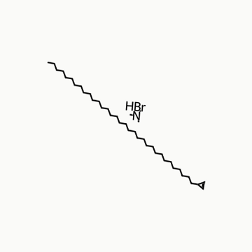 Br.CCCCCCCCCCCCCCCCCCCCCCCCCCCCCCCCCC1C=C1.CN(C)C